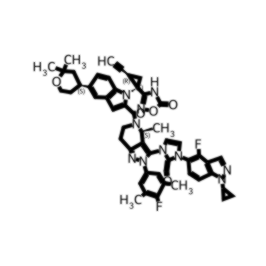 C#C[C@H]1C[C@]1(c1noc(=O)[nH]1)n1c(C(=O)N2CCc3nn(-c4cc(C)c(F)c(C)c4)c(N4C=CN(c5ccc6c(cnn6C6CC6)c5F)C4=C=O)c3[C@@H]2C)cc2cc([C@H]3CCOC(C)(C)C3)ccc21